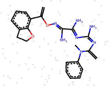 C=C(O/N=C(N)/C(N)=N/C(N)=N\C(=C)N(C)c1ccccc1)c1cccc2c1OCC2